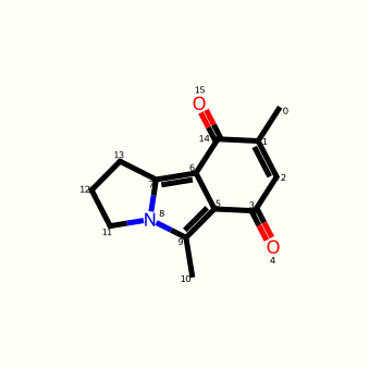 CC1=CC(=O)c2c(c3n(c2C)CCC3)C1=O